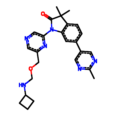 Cc1ncc(-c2ccc3c(c2)N(c2cncc(COCNC4CCC4)n2)C(=O)C3(C)C)cn1